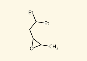 CCC(CC)CC1OC1C